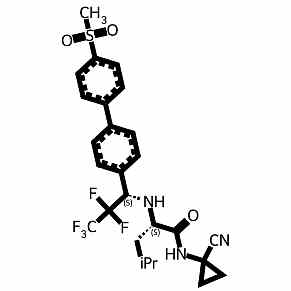 CC(C)C[C@H](N[C@@H](c1ccc(-c2ccc(S(C)(=O)=O)cc2)cc1)C(F)(F)C(F)(F)F)C(=O)NC1(C#N)CC1